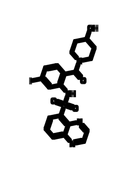 O=C(c1ccc(I)cc1NS(=O)(=O)c1cccc2nccnc12)N1CCC(O)CC1